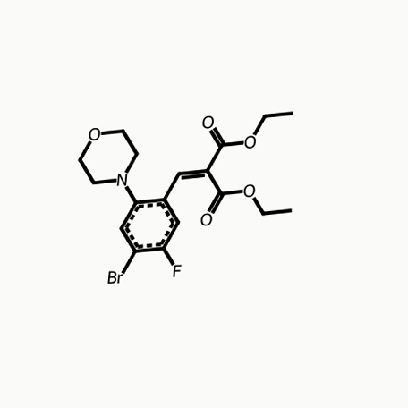 CCOC(=O)C(=Cc1cc(F)c(Br)cc1N1CCOCC1)C(=O)OCC